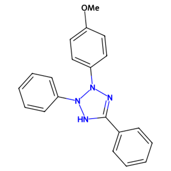 COc1ccc(N2N=C(c3ccccc3)NN2c2ccccc2)cc1